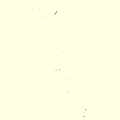 CC(=O)N[C@@H](C)COc1cc(Cl)c(NC(=O)c2cc(F)c(OCC3CC3)cn2)cn1